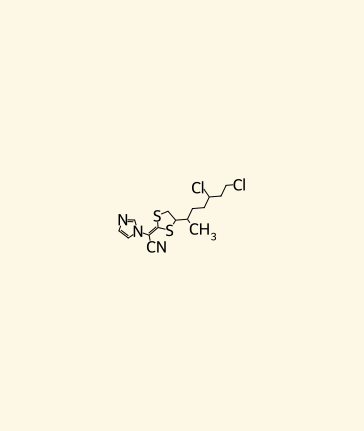 CC(CCC(Cl)CCCl)C1CS/C(=C(/C#N)n2ccnc2)S1